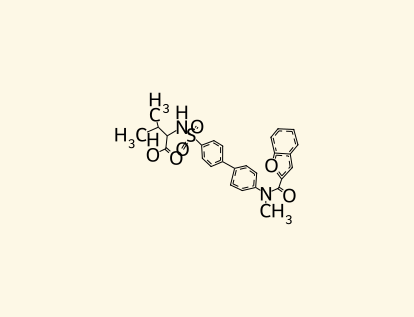 CC(C)C(NS(=O)(=O)c1ccc(-c2ccc(N(C)C(=O)c3cc4ccccc4o3)cc2)cc1)C(=O)O